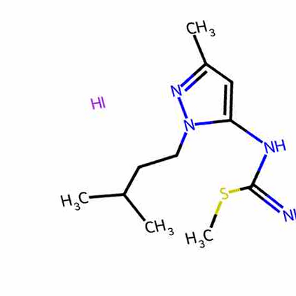 CSC(=N)Nc1cc(C)nn1CCC(C)C.I